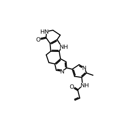 C=CC(=O)Nc1cc(-c2cc3c(cn2)CCc2c-3[nH]c3c2C(=O)NCC3)cnc1C